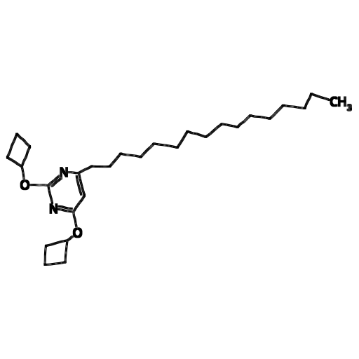 CCCCCCCCCCCCCCCCc1cc(OC2CCC2)nc(OC2CCC2)n1